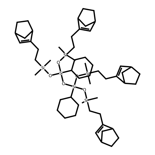 C[Si](C)(CCC1=CC2CCC1C2)O[Si](O[Si](C)(C)CCC1=CC2CCC1C2)(O[Si](O[Si](C)(C)CCC1=CC2CCC1C2)(O[Si](C)(C)CCC1=CC2CCC1C2)C1CCCCC1)C1CCCCC1